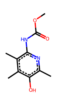 COC(=O)Nc1nc(C)c(O)c(C)c1C